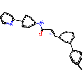 Cc1ccc(-c2cccc(/C=C/C(=O)Nc3ccc(-c4ccccn4)cc3)c2)cc1